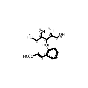 O=C(O)C=Cc1ccccc1.OCC(O)C(O)C(O)CO